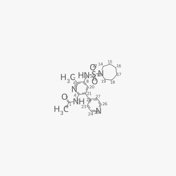 CC(=O)Nc1nc(C)c(NS(=O)(=O)N2CCCCCC2)cc1-c1ccncc1